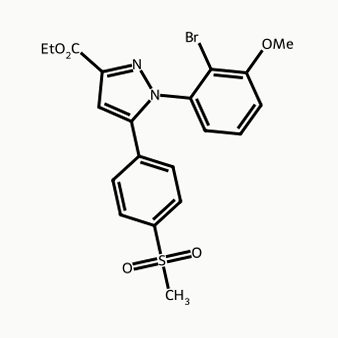 CCOC(=O)c1cc(-c2ccc(S(C)(=O)=O)cc2)n(-c2cccc(OC)c2Br)n1